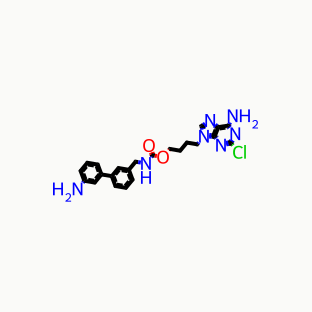 Nc1cccc(-c2cccc(CNC(=O)OCCCCn3cnc4c(N)nc(Cl)nc43)c2)c1